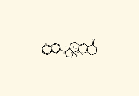 C[C@]12CCC3=CC4=C(CCCC4=O)O[C@H]3[C@@H]1CC[C@@H]2c1ccc2ncccc2c1